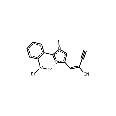 C#C/C(C#N)=C\c1cn(C)c(-c2ccccc2[S+]([O-])CC)n1